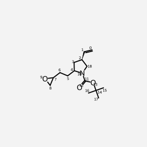 C=C[C@@H]1CC(CCC2CO2)N(C(=O)OC(C)(C)C)C1